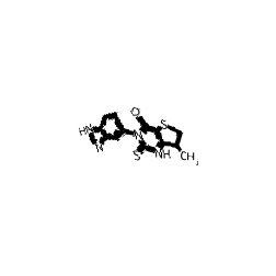 CC1CSc2c1[nH]c(=S)n(-c1ccc3[nH]cnc3c1)c2=O